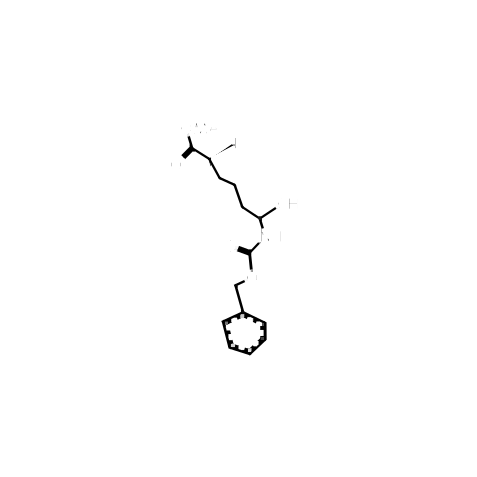 COC(=O)[C@@H](I)CCCC(C)NC(=O)OCc1ccccc1